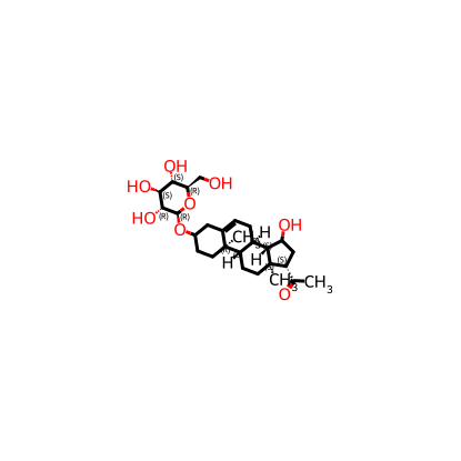 CC(=O)[C@H]1CC(O)[C@H]2[C@@H]3CC=C4CC(O[C@@H]5O[C@H](CO)[C@@H](O)[C@H](O)[C@H]5O)CC[C@]4(C)[C@H]3CC[C@]12C